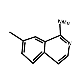 CNc1nccc2ccc(C)cc12